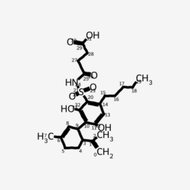 C=C(C)C1CCC(C)=CC1c1c(O)cc(CCCCC)c(S(=O)(=O)NC(=O)CCC(=O)O)c1O